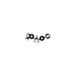 O=C(Nc1ccc(N2CCOCC2)cc1)Nc1ccc(Cl)c(C(F)(F)F)c1